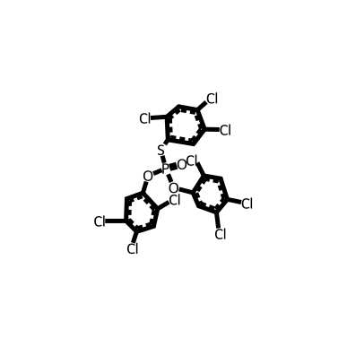 O=P(Oc1cc(Cl)c(Cl)cc1Cl)(Oc1cc(Cl)c(Cl)cc1Cl)Sc1cc(Cl)c(Cl)cc1Cl